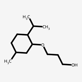 CC1CCC(C(C)C)C(OCCCO)C1